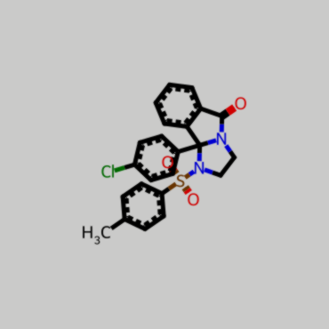 Cc1ccc(S(=O)(=O)N2CCN3C(=O)c4ccccc4C32c2ccc(Cl)cc2)cc1